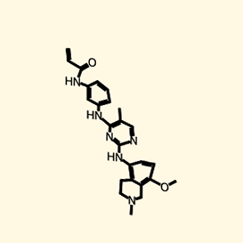 C=CC(=O)Nc1cccc(Nc2nc(Nc3ccc(OC)c4c3CCN(C)C4)ncc2C)c1